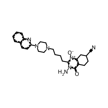 N#CC1CCc2c([n+]([O-])c(CCCCN3CCN(c4ccc5ccccc5n4)CC3)n(N)c2=O)C1